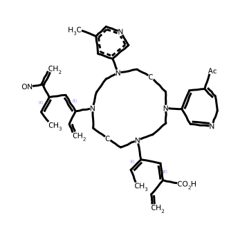 C=C/C(=C\C(=C/C)N1CCCN(/C(C=C)=C/C(=C\C)C(=C)N=O)CCN(c2cncc(C)c2)CCCN(C2=CC(C(C)=O)=CCN=C2)CC1)C(=O)O